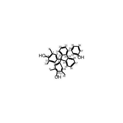 Cc1cc(C2(c3cc(C)c(O)c(C)c3)c3ccccc3-c3ccccc32)cc(C)c1O.Oc1ccccc1